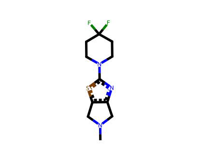 CN1Cc2nc(N3CCC(F)(F)CC3)sc2C1